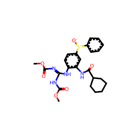 COC(=O)N=C(NC(=O)OC)Nc1ccc([S+]([O-])c2ccccc2)cc1NC(=O)C1CCCCC1